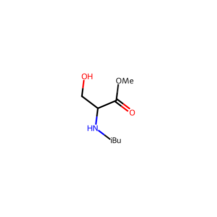 CCC(C)NC(CO)C(=O)OC